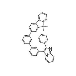 CC1(C)c2ccccc2-c2ccc(-c3cccc(-c4cccc(-c5c(-c6ccccc6)nc6ccccn56)c4)c3)cc21